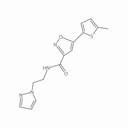 Cc1ccc(-c2cc(C(=O)NCCn3cccn3)no2)s1